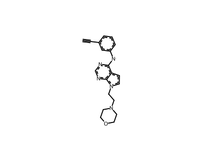 C#Cc1cccc([N]c2ncnc3c2ccn3CCN2CCOCC2)c1